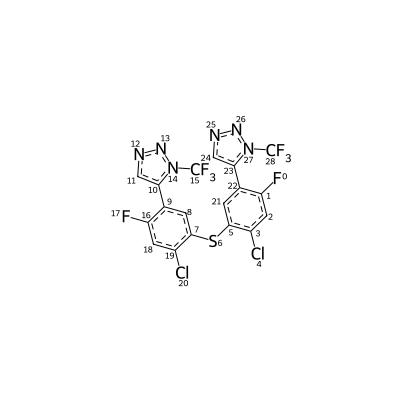 Fc1cc(Cl)c(Sc2cc(-c3cnnn3C(F)(F)F)c(F)cc2Cl)cc1-c1cnnn1C(F)(F)F